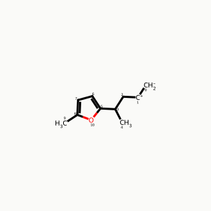 [CH2-][CH+]CC(C)c1ccc(C)o1